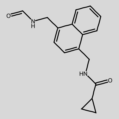 O=CNCc1ccc(CNC(=O)C2CC2)c2ccccc12